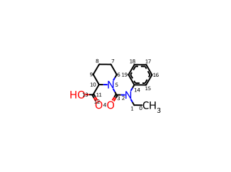 CCN(C(=O)N1CCCCC1C(=O)O)c1ccccc1